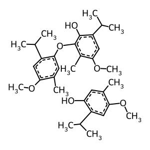 COc1cc(C(C)C)c(O)cc1C.COc1cc(C(C)C)c(Oc2c(C)c(OC)cc(C(C)C)c2O)cc1C